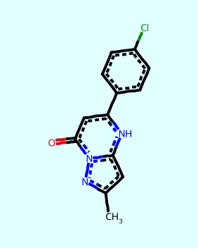 Cc1cc2[nH]c(-c3ccc(Cl)cc3)cc(=O)n2n1